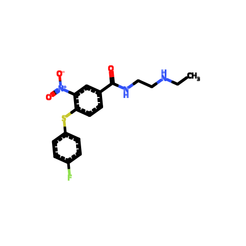 CCNCCNC(=O)c1ccc(Sc2ccc(F)cc2)c([N+](=O)[O-])c1